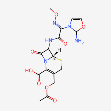 CON=C(C(=O)NC1C(=O)N2C(C(=O)O)=C(COC(C)=O)CS[C@@H]12)N1C=COC1N